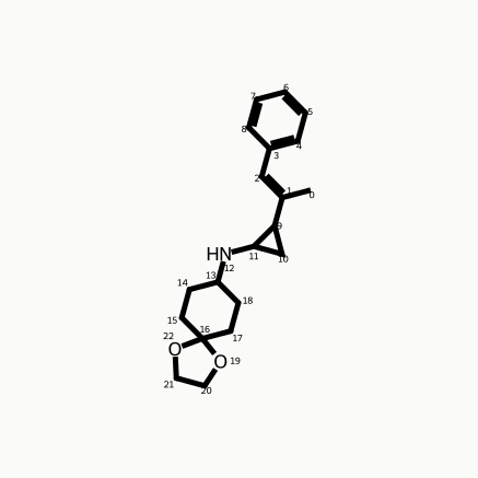 CC(=Cc1ccccc1)C1CC1NC1CCC2(CC1)OCCO2